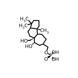 CC1(C)CCC[C@@]2(C)C1CC[C@]1(CO)C2CCC(COP(=O)(O)O)C[C@H]1O